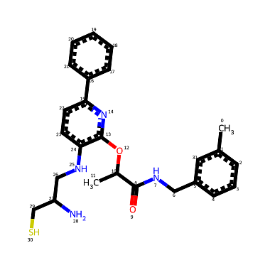 Cc1cccc(CNC(=O)C(C)Oc2nc(-c3ccccc3)ccc2NCC(N)CS)c1